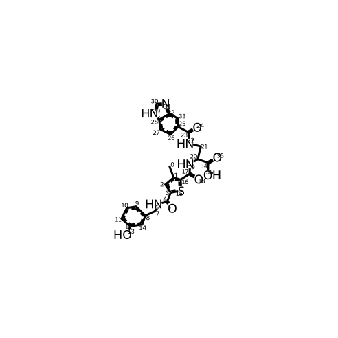 Cc1cc(C(=O)NCc2cccc(O)c2)sc1C(=O)NC(CNC(=O)c1ccc2[nH]cnc2c1)C(=O)O